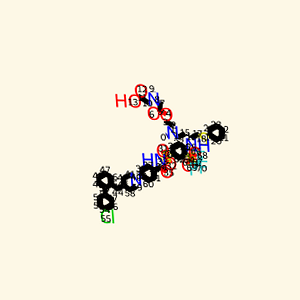 CN(CCOC(=O)CN(C)CC(=O)O)CC[C@H](CSc1ccccc1)Nc1ccc(S(=O)(=O)NC(=O)c2ccc(N3CCC(Cc4ccccc4-c4ccc(Cl)cc4)CC3)cc2)cc1S(=O)(=O)C(F)(F)F